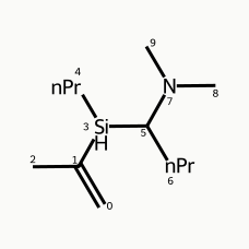 C=C(C)[SiH](CCC)C(CCC)N(C)C